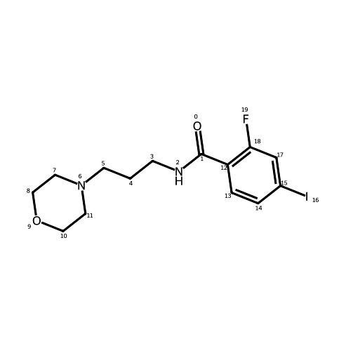 O=C(NCCCN1CCOCC1)c1ccc(I)cc1F